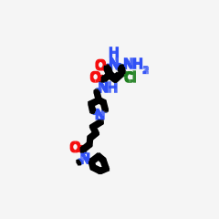 CN(C(=O)CCCCCN1CCC(CNC(=O)c2cc(Cl)c(N)[nH]c2=O)CC1)C1CCCCC1